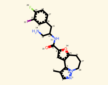 Cc1cnn2c1-c1cc(C(=O)NC(CN)Cc3ccc(F)c(I)c3)oc1CCC2